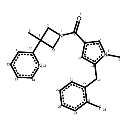 Cn1cc(C(=O)N2CC(C)(c3ccccn3)C2)cc1Cc1ccccc1F